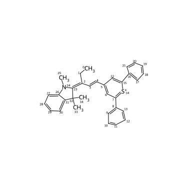 CCC(/C=C/c1cc(-c2ccccc2)[s+]c(-c2ccccc2)c1)=C1\N(C)c2ccccc2C1(C)C